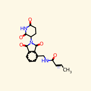 C/C=C/C(=O)NCc1cccc2c1C(=O)N(C1CCC(=O)NC1=O)C2=O